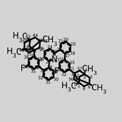 CC12CC3(C)CC(C)(C1)CC(c1cc(F)cc(-c4ccccc4-c4cccc(-c5ccccc5-c5cc(F)cc(C67CC8(C)CC(C)(CC(C)(C8)C6)C7)c5)n4)c1)(C2)C3